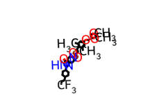 Cc1cc(OC[C@H]2COC(C)(C)O2)cc(C)c1/C=C/S(=O)(=O)N1CCC2(CC1)N=C(C1CCC(CCC(F)(F)F)CC1)NC2=O